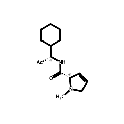 CC(=O)[C@@H](NC(=O)[C@@H]1C=CCN1C)C1CCCCC1